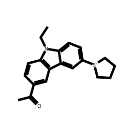 CCn1c2ccc(C(C)=O)cc2c2cc([S+]3CCCC3)ccc21